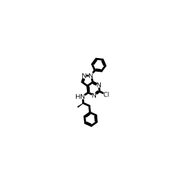 C[C@H](Cc1ccccc1)Nc1nc(Cl)nc2c1cnn2-c1ccccc1